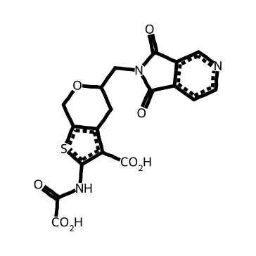 O=C(O)C(=O)Nc1sc2c(c1C(=O)O)CC(CN1C(=O)c3ccncc3C1=O)OC2